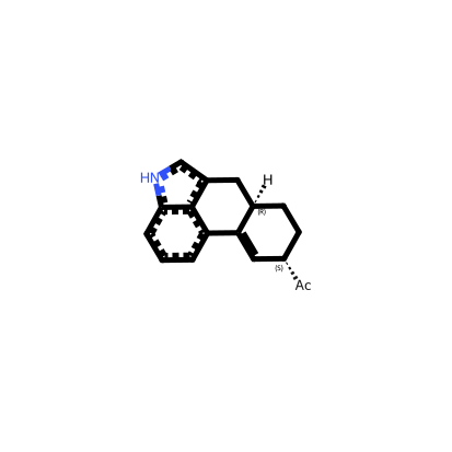 CC(=O)[C@@H]1C=C2c3cccc4[nH]cc(c34)C[C@H]2CC1